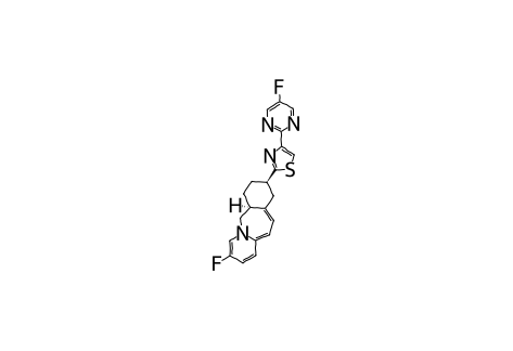 FC1=CN2C[C@H]3CC[C@@H](c4nc(-c5ncc(F)cn5)cs4)CC3=CC=C2C=C1